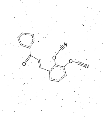 N#COc1cccc(C=CC(=O)c2ccccc2)c1OC#N